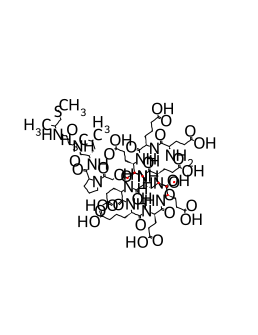 CSCC(C)NC(=O)CNC(=O)[C@H](CC(C)C)NC(=O)C1CCCN1C(=O)COCCNC(=O)[C@@H](CCC(=O)O)NC(=O)[C@@H](CCC(=O)O)NC(=O)[C@@H](CCC(=O)O)NC(=O)[C@@H](CCCC(=O)O)NC(=O)[C@@H](CCC(=O)O)NC(=O)[C@@H](CCC(=O)O)NC(=O)[C@@H](CCC(=O)O)NC(=O)[C@@H](CCCC(=O)O)NC(=O)[C@H](N)CCC(=O)O